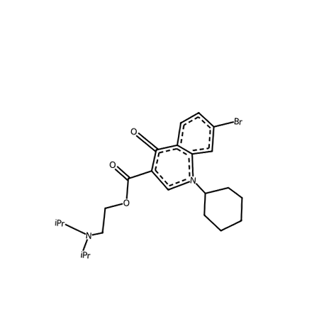 CC(C)N(CCOC(=O)c1cn(C2CCCCC2)c2cc(Br)ccc2c1=O)C(C)C